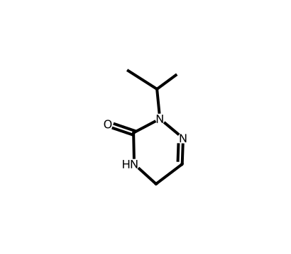 CC(C)N1N=CCNC1=O